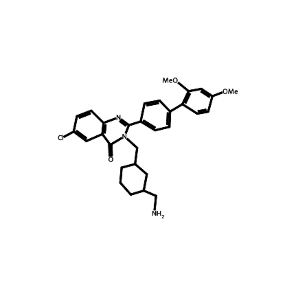 COc1ccc(-c2ccc(-c3nc4ccc(Cl)cc4c(=O)n3CC3CCCC(CN)C3)cc2)c(OC)c1